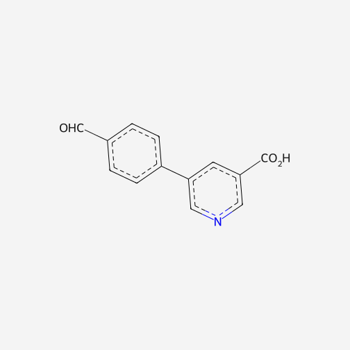 O=Cc1ccc(-c2cncc(C(=O)O)c2)cc1